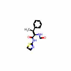 CC(=C(NC=O)C(=O)Nc1nccs1)c1ccccc1